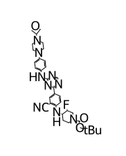 CC(C)(C)OC(=O)N1CC[C@H](Nc2ccc(-c3ncnc(Nc4ccc(N5CCN(C6COC6)CC5)cc4)n3)cc2C#N)[C@H](F)C1